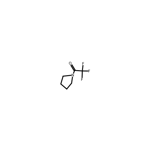 O=C(N1[CH]CCC1)C(F)(F)F